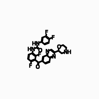 O=C(Nc1ccc(F)c(F)c1)Nc1ccc(F)c(C(=O)c2ccc3nc(C4CNCCO4)cnc3c2)c1F